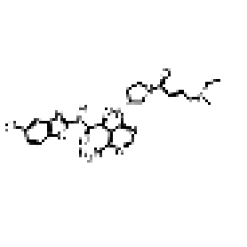 CCN(C)C/C=C/C(=O)N1CC[C@@H](n2nc(C(=O)Nc3nc4cc(Cl)ccc4o3)c3c(N)ncnc32)C1